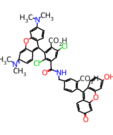 CN(C)c1ccc2c(-c3c(Cl)c(C(=O)NCc4ccc(-c5c6ccc(=O)cc-6oc6cc(O)ccc56)c(C(=O)O)c4)cc(Cl)c3C(=O)O)c3ccc(=[N+](C)C)cc-3oc2c1